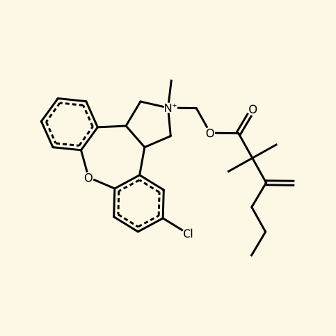 C=C(CCC)C(C)(C)C(=O)OC[N+]1(C)CC2c3ccccc3Oc3ccc(Cl)cc3C2C1